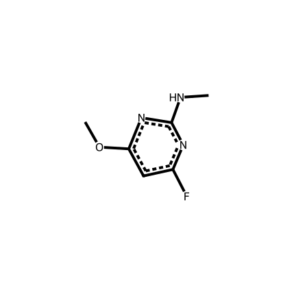 CNc1nc(F)cc(OC)n1